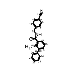 Cc1c(C(=O)NCc2ccc(C#N)cc2)cccc1-c1ccccc1